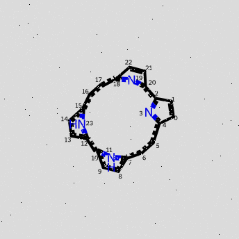 C1=Cc2nc1ccc1ccc([nH]1)c1ccc(ccc3nc2C=C3)[nH]1